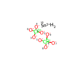 [O-][Cl+3]([O-])([O-])[O-].[O-][Cl+3]([O-])([O-])[O-].[SnH2+2]